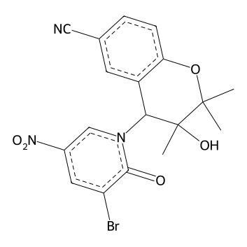 CC1(C)Oc2ccc(C#N)cc2C(n2cc([N+](=O)[O-])cc(Br)c2=O)C1(C)O